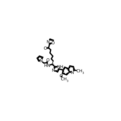 COc1cc2nc(C)ccc2cc1-c1cnc([C@H](CCCCCC(=O)c2ncco2)NC(=O)Cn2cccc2)[nH]1